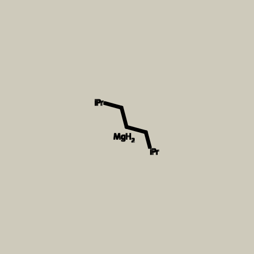 [CH2]C(C)CCCC(C)C.[MgH2]